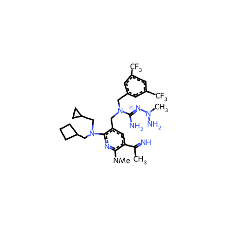 CNc1nc(N(CC2CCC2)CC2CC2)c(CN(Cc2cc(C(F)(F)F)cc(C(F)(F)F)c2)/C(N)=N/N(C)N)cc1C(C)=N